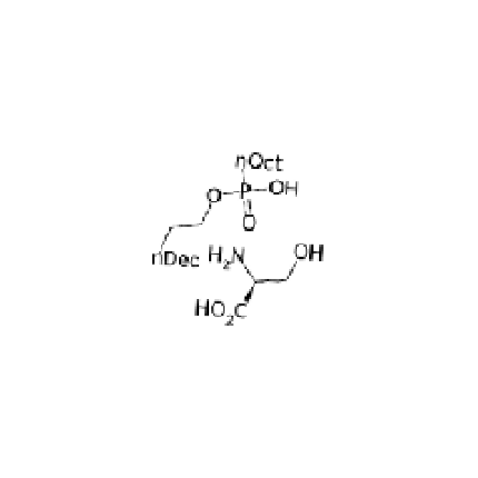 CCCCCCCCCCCCOP(=O)(O)CCCCCCCC.N[C@@H](CO)C(=O)O